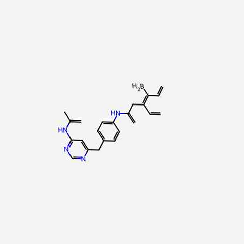 B/C(C=C)=C(/C=C)CC(=C)Nc1ccc(Cc2cc(NC(=C)C)ncn2)cc1